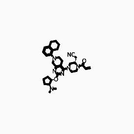 C=CC(=O)N1CCN(c2nc(O[C@H]3CCC[C@@H]3N(C)C)nc3c2CCN(c2cccc4c2CCCC4)C3)C[C@@H]1CC#N